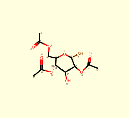 CC(=O)OCC1O[C@@H](S)C(OC(C)=O)C(O)[C@@H]1OC(C)=O